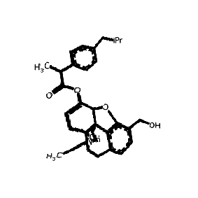 CC(C)Cc1ccc(C(C)C(=O)OC2=CCC3(O)C4Cc5ccc(CO)c6c5C3(CCN4C)C2O6)cc1